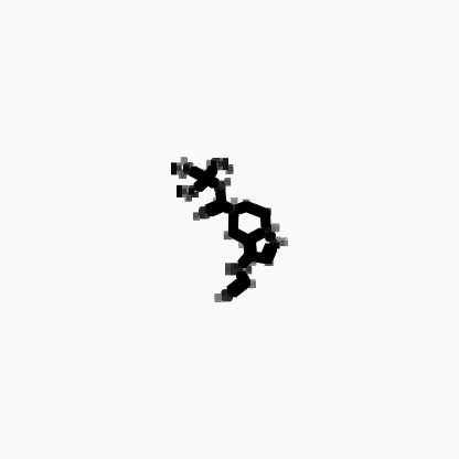 CC(C)(C)OC(=O)N1CCn2ncc(NC=O)c2C1